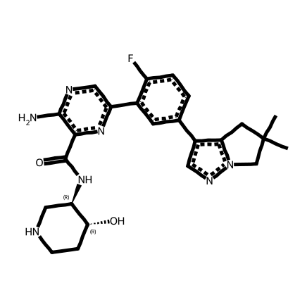 CC1(C)Cc2c(-c3ccc(F)c(-c4cnc(N)c(C(=O)N[C@@H]5CNCC[C@H]5O)n4)c3)cnn2C1